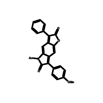 COc1ccc(C2=c3cc4c(cc3N(C(C)=O)C2=O)=C(c2ccccc2)C(=O)O4)cc1